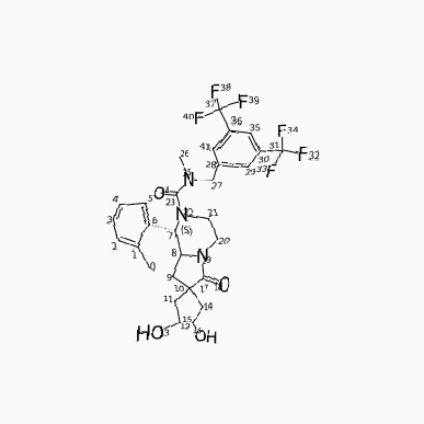 Cc1ccccc1[C@H]1C2CC(CCO)(CCO)C(=O)N2CCN1C(=O)N(C)Cc1cc(C(F)(F)F)cc(C(F)(F)F)c1